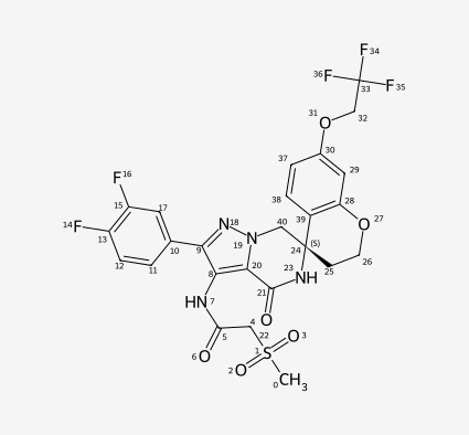 CS(=O)(=O)CC(=O)Nc1c(-c2ccc(F)c(F)c2)nn2c1C(=O)N[C@]1(CCOc3cc(OCC(F)(F)F)ccc31)C2